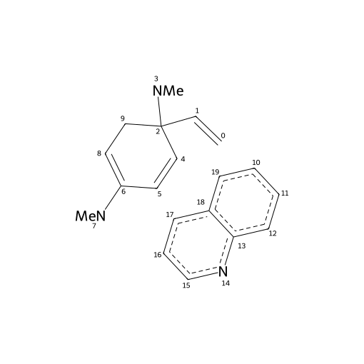 C=CC1(NC)C=CC(NC)=CC1.c1ccc2ncccc2c1